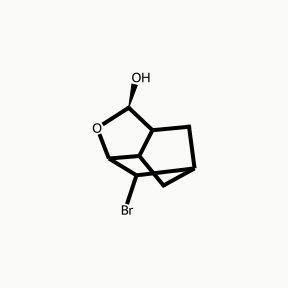 O[C@@H]1OC2C(Br)C3CC2C1C3